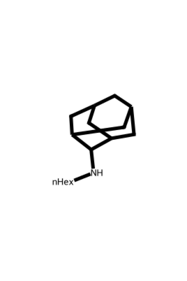 CCCCCCNC1C2CC3CC(C2)CC1C3